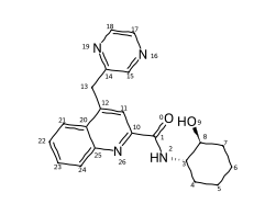 O=C(N[C@H]1CCCC[C@@H]1O)c1cc(Cc2cnccn2)c2ccccc2n1